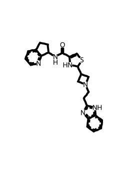 O=C(NC1CCc2cccnc21)C1=CSC(C2CN(CCc3nc4ccccc4[nH]3)C2)N1